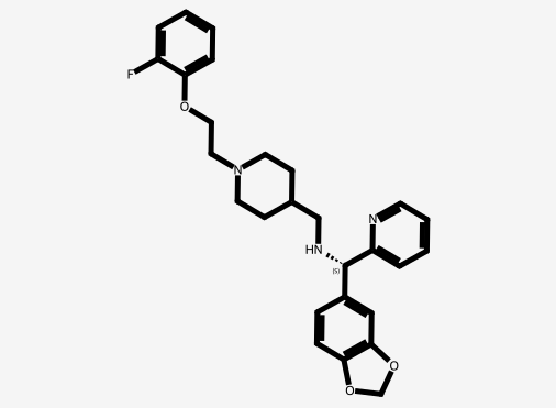 Fc1ccccc1OCCN1CCC(CN[C@@H](c2ccc3c(c2)OCO3)c2ccccn2)CC1